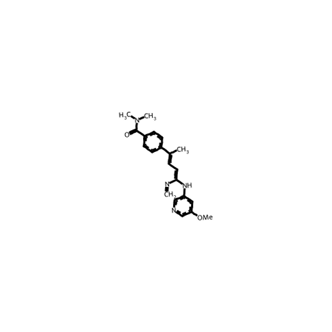 C=N/C(=C\C=C(/C)c1ccc(C(=O)N(C)C)cc1)Nc1cncc(OC)c1